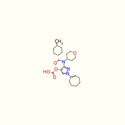 C[C@H]1CC[C@H](C(=O)N(c2nn(C3=CCCCCC3)cc2OC(=O)O)C2CCOCC2)CC1